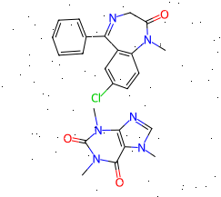 CN1C(=O)CN=C(c2ccccc2)c2cc(Cl)ccc21.Cn1c(=O)c2c(ncn2C)n(C)c1=O